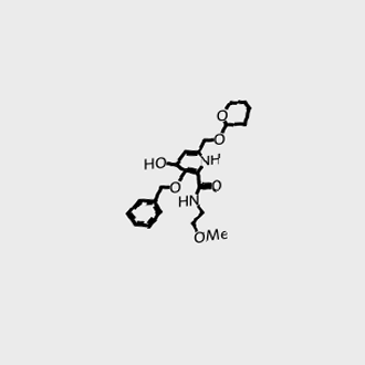 COCCNC(=O)C1=C(OCc2ccccc2)C(O)C=C(COC2CCCCO2)N1